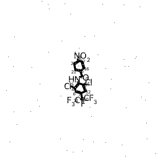 O=C(Nc1c(Cl)cc(C(F)(C(F)(F)F)C(F)(F)F)cc1Cl)c1ccc([N+](=O)[O-])cc1